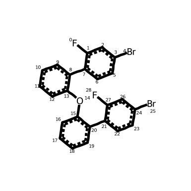 Fc1cc(Br)ccc1-c1ccccc1Oc1ccccc1-c1ccc(Br)cc1F